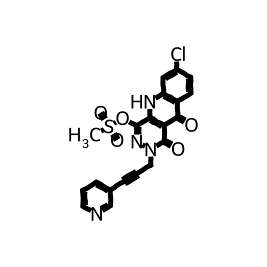 CS(=O)(=O)Oc1nn(CC#Cc2cccnc2)c(=O)c2c(=O)c3ccc(Cl)cc3[nH]c12